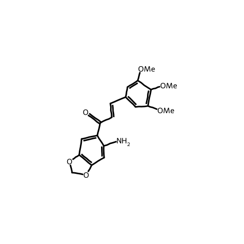 COc1cc(C=CC(=O)c2cc3c(cc2N)OCO3)cc(OC)c1OC